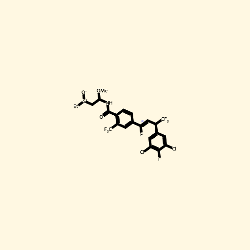 CC[S+]([O-])CC(NC(=O)c1ccc(/C(F)=C/C(c2cc(Cl)c(F)c(Cl)c2)C(F)(F)F)cc1C(F)(F)F)OC